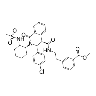 COC(=O)c1cccc(CCNC(=O)[C@@H]2c3ccccc3C(=O)N([C@H]3CCCC[C@@H]3NS(C)(=O)=O)[C@H]2c2ccc(Cl)cc2)c1